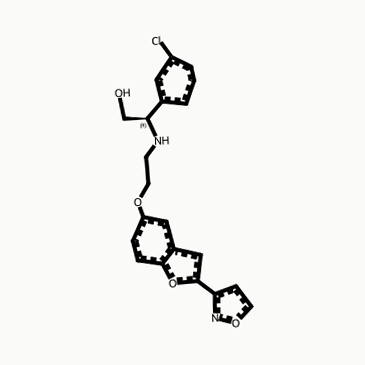 OC[C@H](NCCOc1ccc2oc(-c3ccon3)cc2c1)c1cccc(Cl)c1